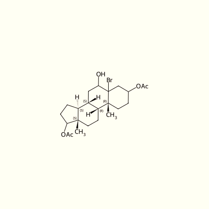 CC(=O)OC1CC[C@]2(C)[C@@H]3CC[C@]4(C)C(OC(C)=O)CC[C@H]4[C@@H]3CC(O)C2(Br)C1